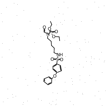 CCOP(=O)(OCC)N(C=O)CCCCCNS(=O)(=O)c1ccc(Oc2ccccc2)cc1